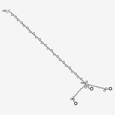 O=C(O)CCOCCOCCOCCOCCOCCOCCOCCOCCOCCOCCOCCOCCOCCOCCOCCOCCOCCOCCOCCOCCOCCOCCOCCOCCNC(=O)C(CCCCCCCCCCCCCC(=O)OCc1ccccc1)(CCCCCCCCCCCCCC(=O)OCc1ccccc1)C(=O)OCc1ccccc1